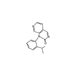 CC(C)c1ccccc1-n1c(=O)ncc2ccncc21